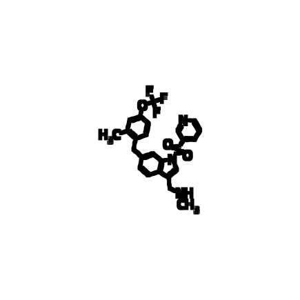 CNCc1cn(S(=O)(=O)c2cccnc2)c2cc(Cc3ccc(OC(F)(F)F)cc3C)ccc12